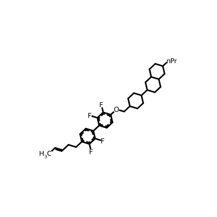 C/C=C/CCc1ccc(-c2ccc(OCC3CCC(C4CCC5CC(CCC)CCC5C4)CC3)c(F)c2F)c(F)c1F